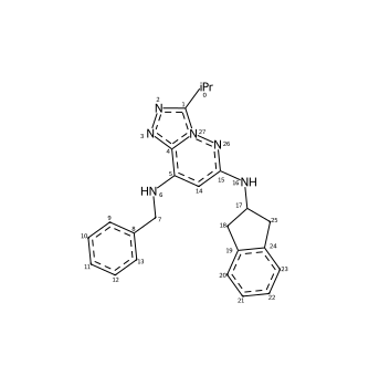 CC(C)c1nnc2c(NCc3ccccc3)cc(NC3Cc4ccccc4C3)nn12